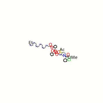 CC/C=C\C/C=C\C/C=C\C/C=C\C/C=C\C/C=C\CC(=O)Oc1ccccc1C(=O)Oc1ccccc1C(=O)OC(=O)/C=C1/CN([C@H](C(=O)OC)c2ccccc2Cl)CCC1SC(C)=O